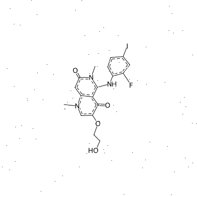 Cn1c(Nc2ccc(I)cc2F)c2c(=O)c(OCCO)cn(C)c2cc1=O